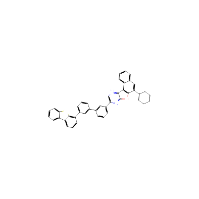 c1cc(-c2cccc(-c3cccc4c3sc3ccccc34)c2)cc(-c2cnc3c(n2)oc2c(C4CCCCC4)cc4ccccc4c23)c1